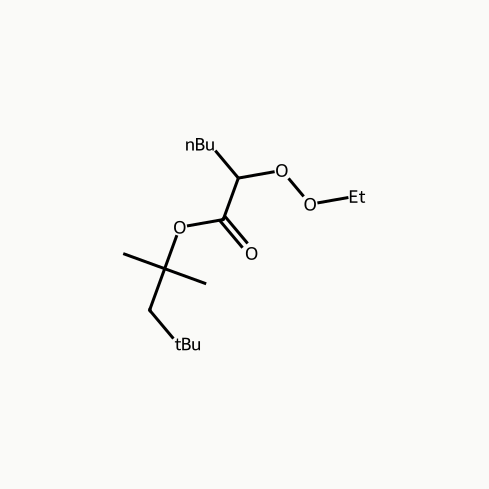 CCCCC(OOCC)C(=O)OC(C)(C)CC(C)(C)C